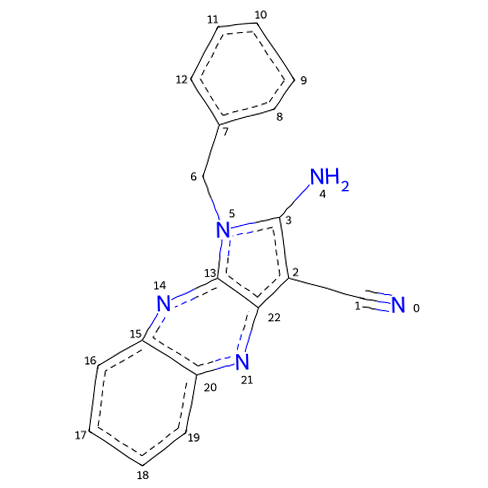 N#Cc1c(N)n(Cc2ccccc2)c2nc3ccccc3nc12